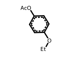 [CH2]C(=O)Oc1ccc(OCC)cc1